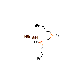 Br.Br.CCP(CCCC(C)C)CCP(CC)CCCC(C)C